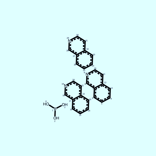 OB(O)O.c1ccc2cnccc2c1.c1ccc2cnccc2c1.c1ccc2cnccc2c1